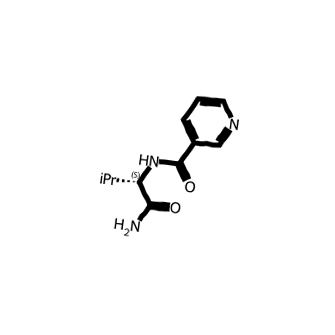 CC(C)[C@H](NC(=O)c1cccnc1)C(N)=O